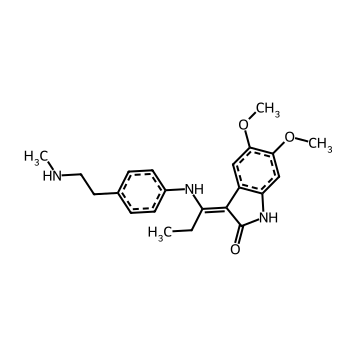 CCC(Nc1ccc(CCNC)cc1)=C1C(=O)Nc2cc(OC)c(OC)cc21